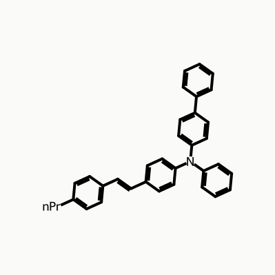 CCCc1ccc(/C=C/c2ccc(N(c3ccccc3)c3ccc(-c4ccccc4)cc3)cc2)cc1